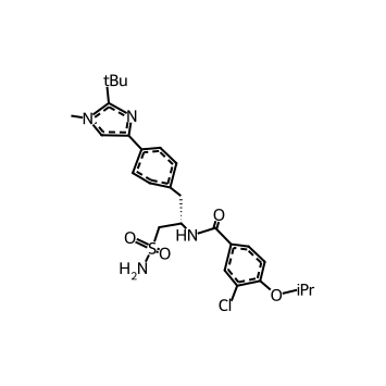 CC(C)Oc1ccc(C(=O)N[C@@H](Cc2ccc(-c3cn(C)c(C(C)(C)C)n3)cc2)CS(N)(=O)=O)cc1Cl